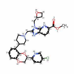 COC(=O)c1ccc2nc(CN3CCC(c4cccc5c4O[C@@H](c4ccc(Cl)cn4)CO5)CC3)n(C[C@@H]3CCO3)c2n1